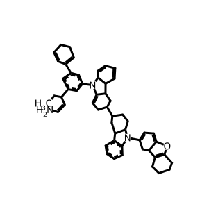 CCC(/C=C\N)c1cc(C2=CCCC=C2)cc(N2C3=CCC(C4CCC5C(C4)c4ccccc4N5C4=CC=C5OC6=C(CCCC6)C5C4)CC3C3C=CC=CC32)c1